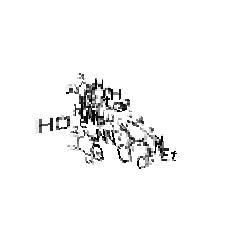 CCn1nc2ccc(-c3nn(C4CCCCO4)c4nc(N5[C@H]6CC[C@@H]5[C@H](NC(=O)O)C6)n(C)c(=O)c34)c(Cl)c2c1Cl